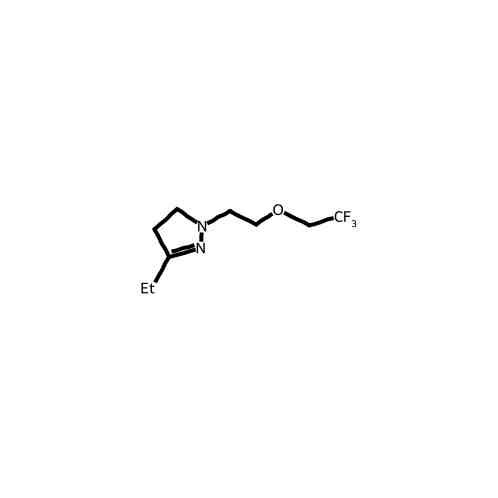 CCC1=NN(CCOCC(F)(F)F)CC1